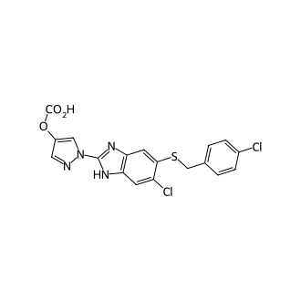 O=C(O)Oc1cnn(-c2nc3cc(SCc4ccc(Cl)cc4)c(Cl)cc3[nH]2)c1